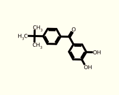 CC(C)(C)c1ccc(C(=O)c2ccc(O)c(O)c2)cc1